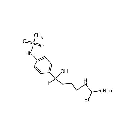 CCCCCCCCCC(CC)NCCCC(O)(I)c1ccc(NS(C)(=O)=O)cc1